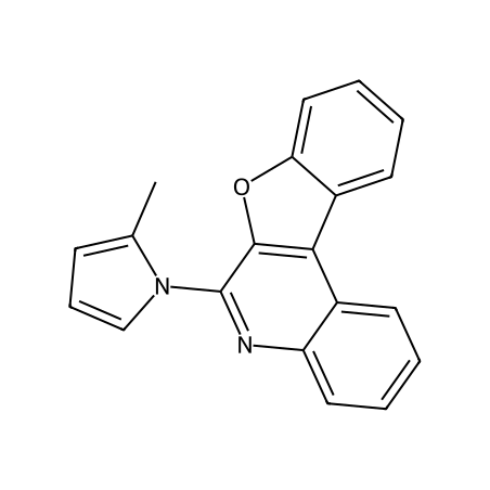 Cc1cccn1-c1nc2ccccc2c2c1oc1ccccc12